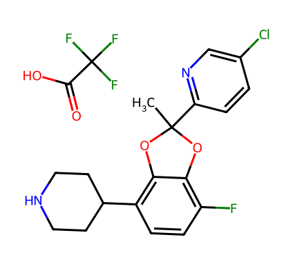 CC1(c2ccc(Cl)cn2)Oc2c(F)ccc(C3CCNCC3)c2O1.O=C(O)C(F)(F)F